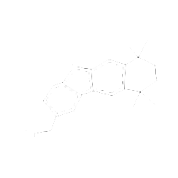 CC(C)(C)Cc1ccc2sc3cc4c(cc3c2c1)C(C)(C)CCC4(C)C